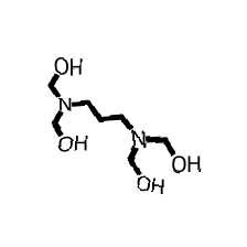 OCN(CO)CCCN(CO)CO